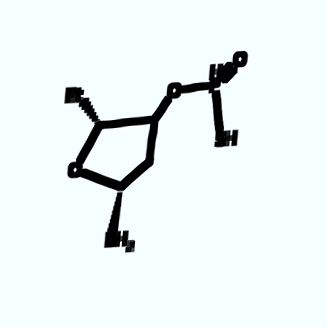 B[C@H]1CC(O[PH](=O)S)[C@@H](CC)O1